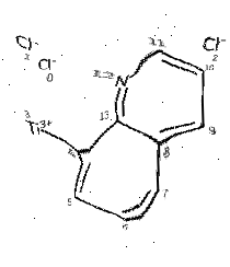 [Cl-].[Cl-].[Cl-].[Ti+3][c]1cccc2cccnc12